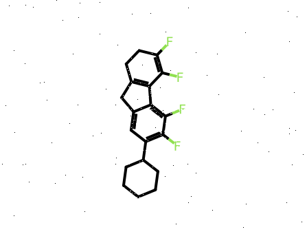 FC1=C(F)C2=C(CC1)Cc1cc(C3CCCCC3)c(F)c(F)c12